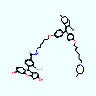 CCC1CC2CC(C)CC(C2)/C1=C(\c1ccc(OCCCCCCNC(=O)c2ccc(-c3c4ccc(=O)cc-4oc4cc(O)ccc34)c(C(=O)O)c2)cc1)c1ccc(OCCCCCCN2CCCC(C)CC2)cc1